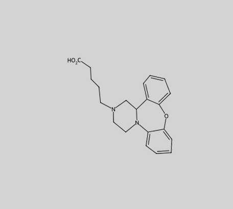 O=C(O)CCCCN1CCN2c3ccccc3Oc3ccccc3C2C1